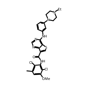 CCN1CCN(c2cccc(Nc3ncnc4c(C(=O)Nc5c(Cl)c(C)cc(OC)c5Cl)csc34)c2)CC1